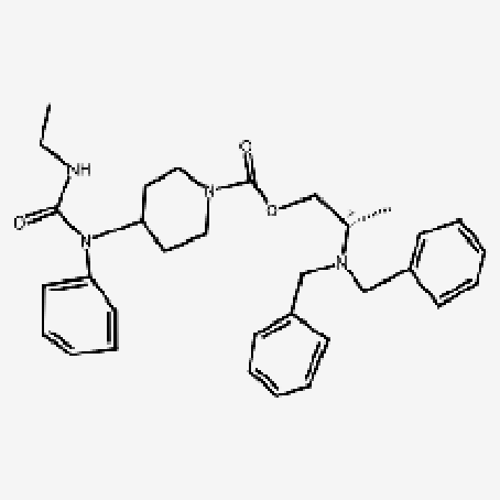 CCNC(=O)N(c1ccccc1)C1CCN(C(=O)OC[C@H](C)N(Cc2ccccc2)Cc2ccccc2)CC1